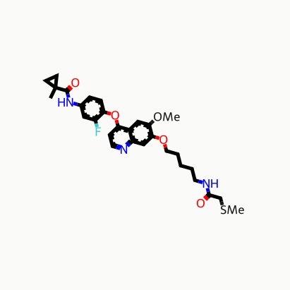 COc1cc2c(Oc3ccc(NC(=O)C4(C)CC4)cc3F)ccnc2cc1OCCCCCNC(=O)CSC